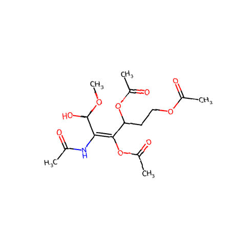 COC(O)/C(NC(C)=O)=C(/OC(C)=O)C(CCOC(C)=O)OC(C)=O